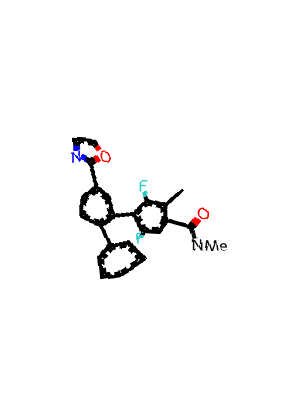 CNC(=O)c1cc(F)c(-c2cc(-c3ncco3)ccc2-c2ccccc2)c(F)c1C